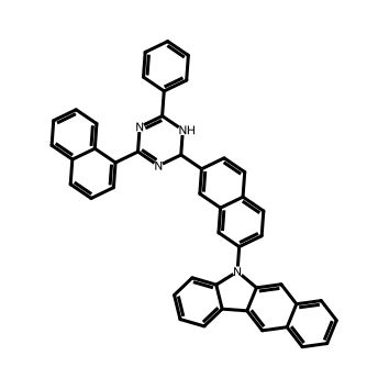 c1ccc(C2=NC(c3cccc4ccccc34)=NC(c3ccc4ccc(-n5c6ccccc6c6cc7ccccc7cc65)cc4c3)N2)cc1